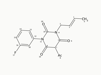 CC=CCN1C(=O)C(C(C)=O)C(=O)N(c2cccc(F)c2)C1=O